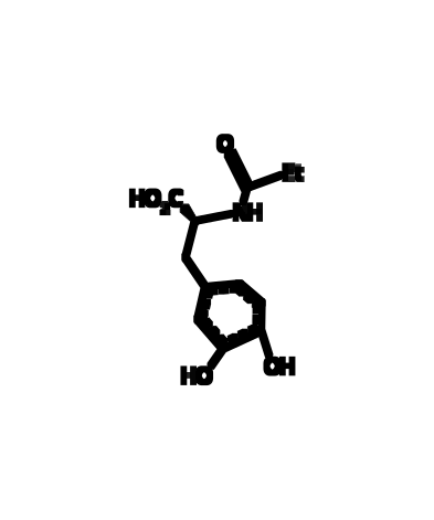 CCC(=O)N[C@@H](Cc1ccc(O)c(O)c1)C(=O)O